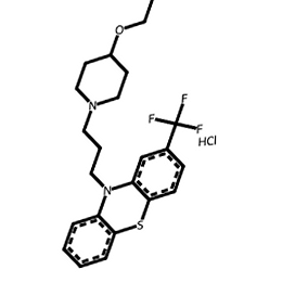 Cl.OCCOC1CCN(CCCN2c3ccccc3Sc3ccc(C(F)(F)F)cc32)CC1